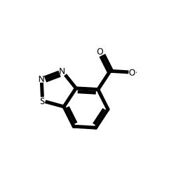 [O]C(=O)c1cccc2snnc12